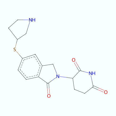 O=C1CCC(N2Cc3cc(SC4CCNC4)ccc3C2=O)C(=O)N1